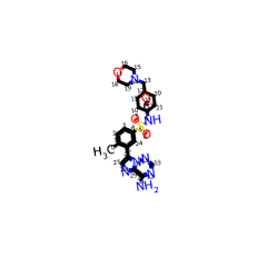 Cc1ccc(S(=O)(=O)NC23CCC(CN4CCOCC4)(CC2)OC3)cc1-c1cnc2c(N)ncnn12